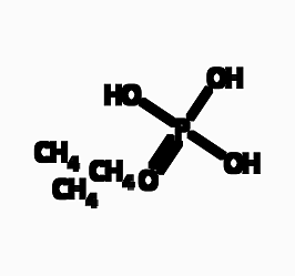 C.C.C.O=P(O)(O)O